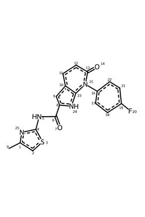 Cc1csc(NC(=O)c2cc3ccc(=O)n(-c4ccc(F)cc4)c3[nH]2)n1